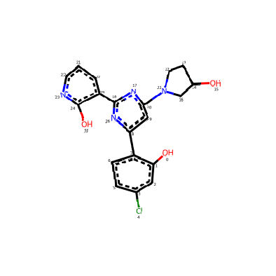 Oc1cc(Cl)ccc1-c1cc(N2CCC(O)C2)nc(-c2cccnc2O)n1